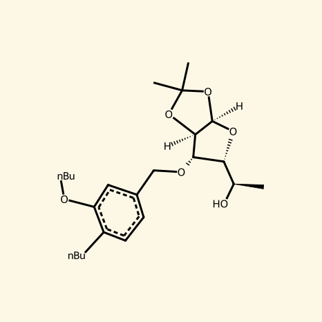 CCCCOc1cc(CO[C@@H]2[C@H]3OC(C)(C)O[C@H]3O[C@@H]2[C@@H](C)O)ccc1CCCC